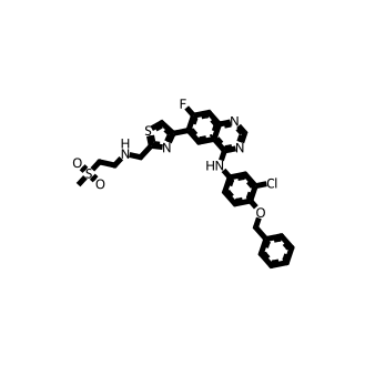 CS(=O)(=O)CCNCc1nc(-c2cc3c(Nc4ccc(OCc5ccccc5)c(Cl)c4)ncnc3cc2F)cs1